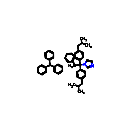 CC(C)Cc1ccc(C([SiH2]c2ccccc2)(c2ccc(CC(C)C)cc2)n2ccnc2)cc1.c1ccc(B(c2ccccc2)c2ccccc2)cc1